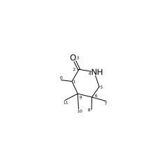 CC1C(=O)NCC(C)(C)C1(C)C